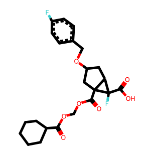 O=C(OCOC(=O)C12CC(OCc3ccc(F)cc3)CC1C2(F)C(=O)O)C1CCCCC1